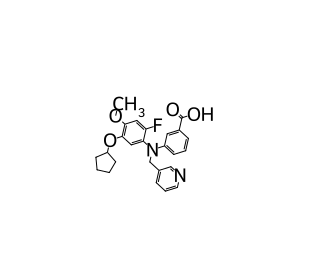 COc1cc(F)c(N(Cc2cccnc2)c2cccc(C(=O)O)c2)cc1OC1CCCC1